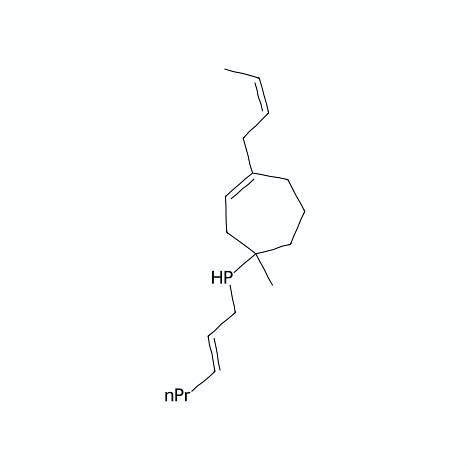 C/C=C\CC1=CCC(C)(PC/C=C/CCC)CCC1